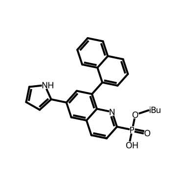 CCC(C)OP(=O)(O)c1ccc2cc(-c3ccc[nH]3)cc(-c3cccc4ccccc34)c2n1